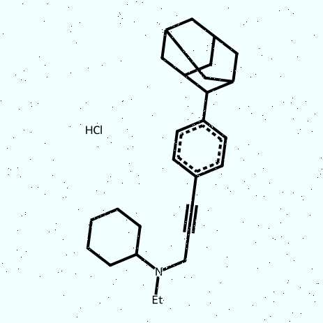 CCN(CC#Cc1ccc(C2C3CC4CC(C3)CC2C4)cc1)C1CCCCC1.Cl